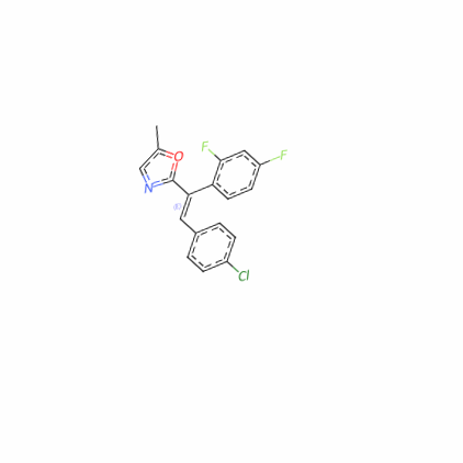 Cc1cnc(/C(=C/c2ccc(Cl)cc2)c2ccc(F)cc2F)o1